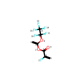 C=C(OC(=O)C(=C)F)OC(F)(F)C(F)(F)F